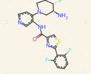 N[C@H]1CN(c2ccncc2NC(=O)c2csc(-c3c(F)cccc3F)n2)CC[C@@H]1F